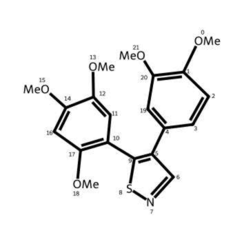 COc1ccc(-c2cnsc2-c2cc(OC)c(OC)cc2OC)cc1OC